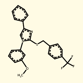 COc1cccc(-n2cc(-c3ccccc3)nc2SCc2ccc(C(F)(F)F)cc2)c1